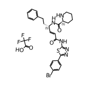 O=C(C=C[C@H](CCc1ccccc1)NC(=O)[C@@H]1CCCCN1)Nc1nnc(-c2ccc(Br)cc2)s1.O=C(O)C(F)(F)F